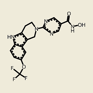 O=C(NO)c1cnc(N2CCc3[nH]c4ccc(OC(F)(F)F)cc4c3C2)nc1